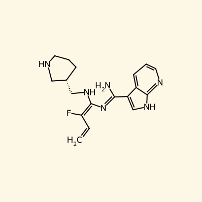 C=C/C(F)=C(\N=C(/N)c1c[nH]c2ncccc12)NC[C@H]1CCCNC1